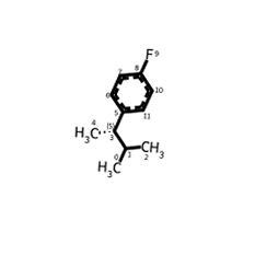 CC(C)[C@H](C)c1ccc(F)cc1